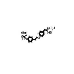 CCSC(Cc1ccc(OCCc2ccc(NC(=O)OC(C)(C)C)cc2)cc1)C(=O)O